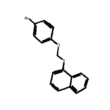 CCC(C)c1ccc(OCSc2cccc3ccccc23)cc1